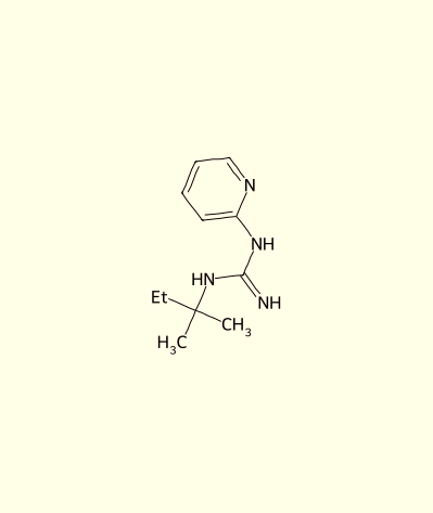 CCC(C)(C)NC(=N)Nc1ccccn1